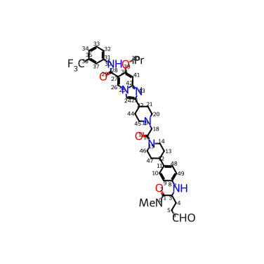 CNC(=O)C(CCC=O)Nc1ccc(C2CCN(C(=O)CN3CCC(c4cn5cc(C(=O)Nc6cccc(C(F)(F)F)c6)c(OC(C)C)cc5n4)CC3)CC2)cc1